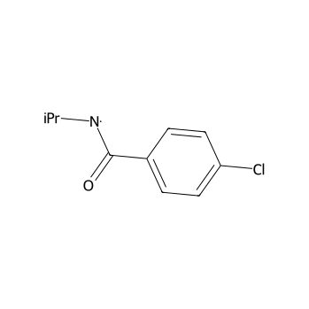 CC(C)[N]C(=O)c1ccc(Cl)cc1